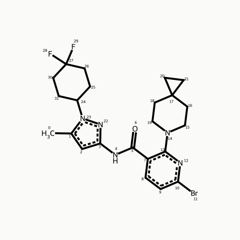 Cc1cc(NC(=O)c2ccc(Br)nc2N2CCC3(CC2)CC3)nn1C1CCC(F)(F)CC1